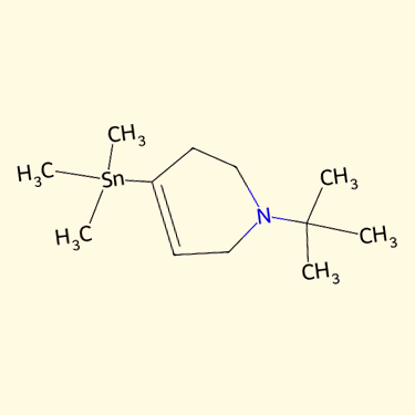 CC(C)(C)N1CC=[C]([Sn]([CH3])([CH3])[CH3])CC1